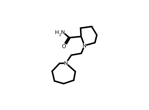 NC(=O)C1C[CH]CCN1CCN1CCCCCC1